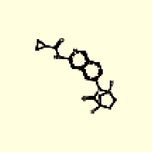 O=C(Nc1cc2cc(N3C(=O)[C@H]4CC[C@@H]3C4)ccc2cn1)C1CC1